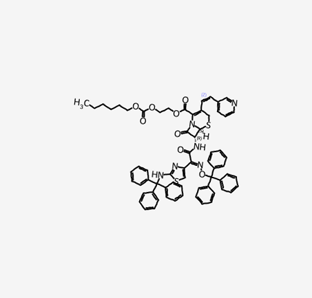 CCCCCCOC(=O)OCCOC(=O)C1=C(/C=C\c2cccnc2)CS[C@H]2[C@H](NC(=O)C(=NOC(c3ccccc3)(c3ccccc3)c3ccccc3)c3csc(NC(c4ccccc4)(c4ccccc4)c4ccccc4)n3)C(=O)N12